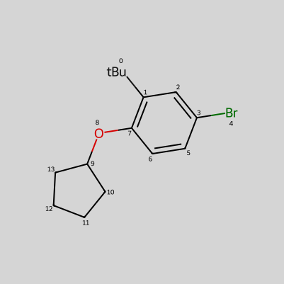 CC(C)(C)c1cc(Br)ccc1OC1CCCC1